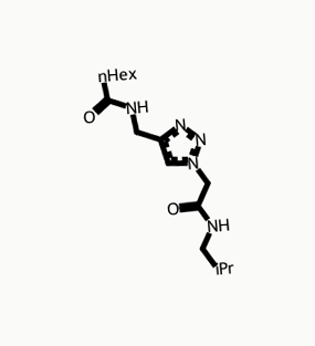 CCCCCCC(=O)NCc1cn(CC(=O)NCC(C)C)nn1